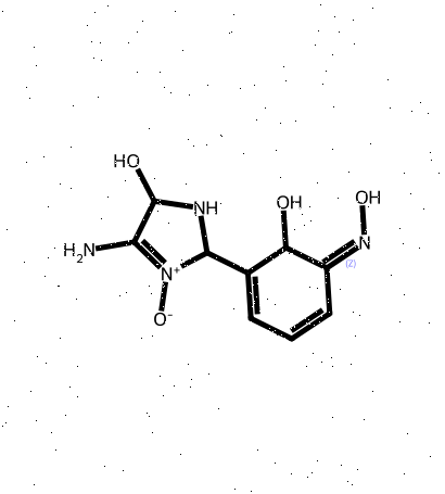 NC1=[N+]([O-])C(C2=CC=C/C(=N/O)C2O)NC1O